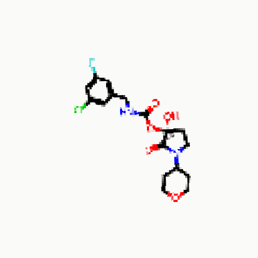 O=C(NCc1cc(F)cc(Cl)c1)O[C@@]1(O)CCN(C2CCOCC2)C1=O